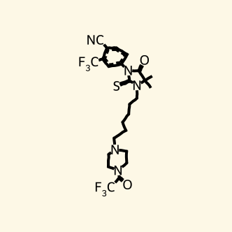 CC1(C)C(=O)N(c2ccc(C#N)c(C(F)(F)F)c2)C(=S)N1CCCCCCN1CCN(C(=O)C(F)(F)F)CC1